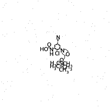 CC(C)(C)[Si](C)(C)OCC1CN(c2cc(C#N)cc(NC(=O)O)c2Cl)CCO1